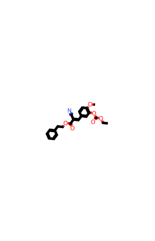 CCOC(=O)Oc1cc(/C=C(\C#N)C(=O)OCCc2ccccc2)ccc1OC